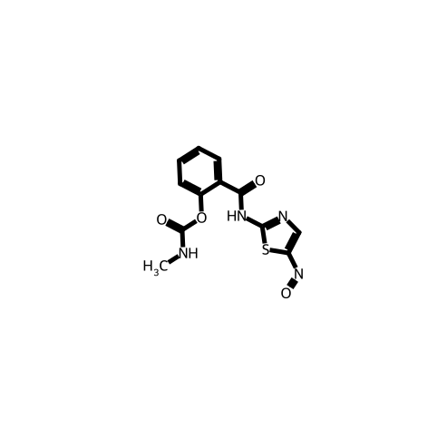 CNC(=O)Oc1ccccc1C(=O)Nc1ncc(N=O)s1